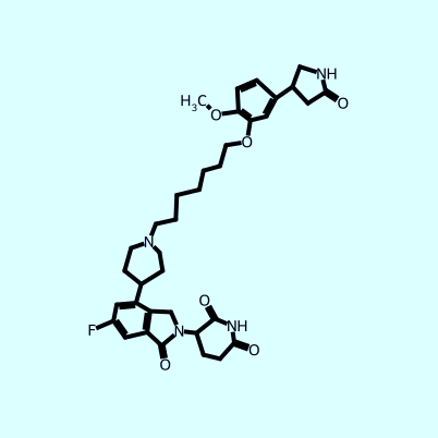 COc1ccc(C2CNC(=O)C2)cc1OCCCCCCCN1CCC(c2cc(F)cc3c2CN(C2CCC(=O)NC2=O)C3=O)CC1